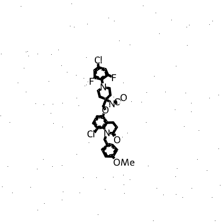 COc1ccc(CN2C(=O)CCc3c(OCC4(N=C=O)CCN(c5c(F)cc(Cl)cc5F)CC4)ccc(Cl)c32)cc1